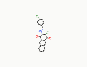 O=C1C(Cl)=C(NCc2ccc(Cl)cc2)C(=O)c2cc3ccccc3cc21